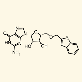 Nc1nc2c(ncn2[C@@H]2O[C@H](COCc3cc4ccccc4s3)[C@@H](O)[C@H]2O)c(=O)[nH]1